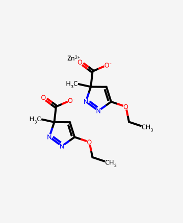 CCOC1=CC(C)(C(=O)[O-])N=N1.CCOC1=CC(C)(C(=O)[O-])N=N1.[Zn+2]